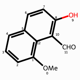 COc1cccc2ccc(O)c(C=O)c12